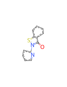 O=c1c2ccccc2sn1-c1ccccn1